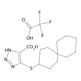 O=C(O)C(F)(F)F.O=C(O)c1[nH]nnc1SC1CCC2(CCCCC2)CC1